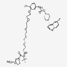 C[C@@H](C(=O)Nc1ccc(Cl)c(OCCOCCOCCOCCOCCN[C@H](C(=O)N2CC[C@@H](O)C2)C(C)(C)C)c1)[C@H]1CC[C@@H](c2ccnc3ccc(F)cc32)CC1